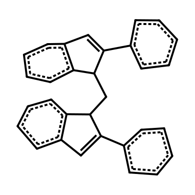 C1=C(c2ccccc2)C(CC2C(c3ccccc3)=Cc3ccccc32)c2ccccc21